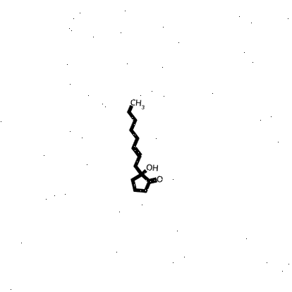 CCCCCC=CCC1(O)CCCC1=O